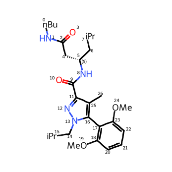 CCCCNC(=O)C[C@H](CC(C)C)NC(=O)c1nn(CC(C)C)c(-c2c(OC)cccc2OC)c1C